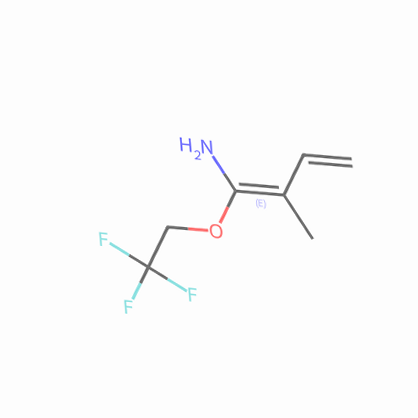 C=C/C(C)=C(\N)OCC(F)(F)F